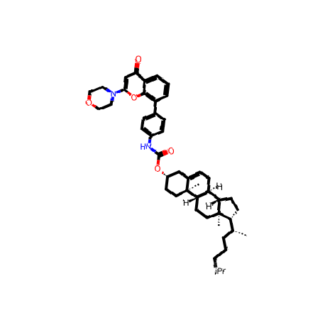 CC(C)CCC[C@@H](C)[C@H]1CC[C@H]2[C@@H]3CC=C4C[C@@H](OC(=O)Nc5ccc(-c6cccc7c(=O)cc(N8CCOCC8)oc67)cc5)CC[C@]4(C)[C@H]3CC[C@]12C